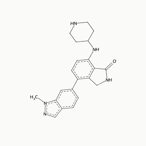 Cn1ncc2ccc(-c3ccc(NC4CCNCC4)c4c3CNC4=O)cc21